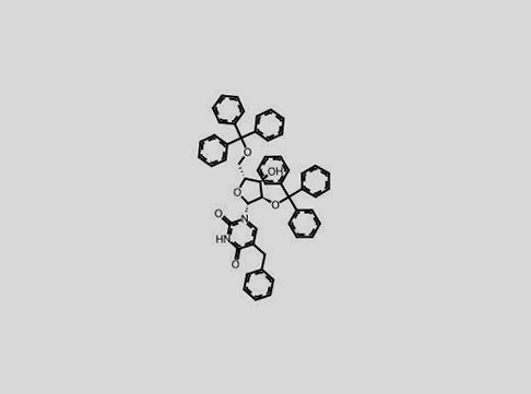 O=c1[nH]c(=O)n([C@@H]2O[C@H](COC(c3ccccc3)(c3ccccc3)c3ccccc3)[C@@H](O)[C@H]2OC(c2ccccc2)(c2ccccc2)c2ccccc2)cc1Cc1ccccc1